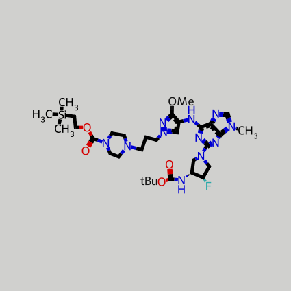 COc1nn(CCCN2CCN(C(=O)OCC[Si](C)(C)C)CC2)cc1Nc1nc(N2C[C@@H](F)[C@H](NC(=O)OC(C)(C)C)C2)nc2c1ncn2C